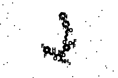 C[C@H](N)c1oc(-c2ccc(OC(F)F)c(OCCCCC(=O)N3CCN(c4ncccn4)CC3)c2)nc1C(=O)NCc1ccc(F)cc1F